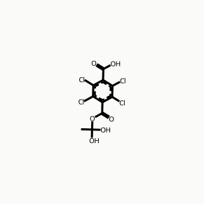 CC(O)(O)OC(=O)c1c(Cl)c(Cl)c(C(=O)O)c(Cl)c1Cl